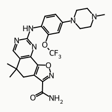 CN1CCN(c2ccc(Nc3ncc4c(n3)-c3onc(C(N)=O)c3CC4(C)C)c(OC(F)(F)F)c2)CC1